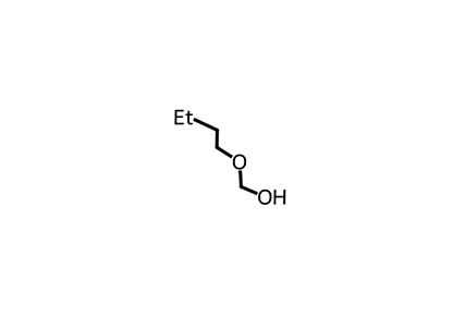 CCCCOCO